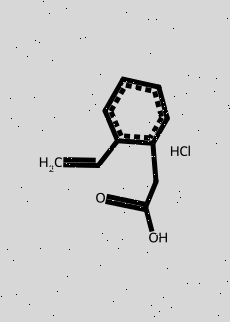 C=Cc1ccccc1CC(=O)O.Cl